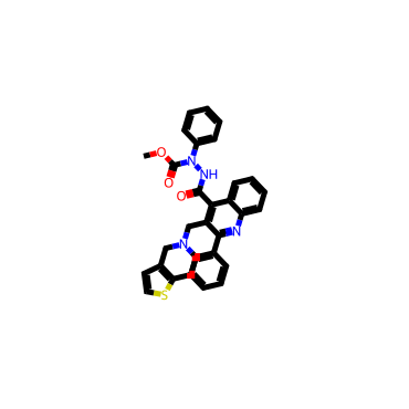 COC(=O)N(NC(=O)c1c(CN2CCc3sccc3C2)c(-c2ccccc2)nc2ccccc12)c1ccccc1